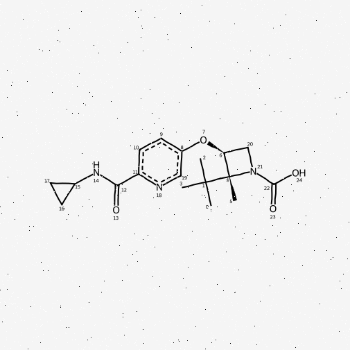 CC(C)(C)[C@]1(C)[C@@H](Oc2ccc(C(=O)NC3CC3)nc2)CN1C(=O)O